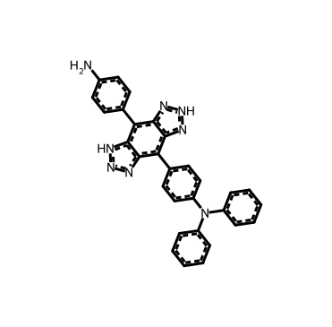 Nc1ccc(-c2c3n[nH]nc3c(-c3ccc(N(c4ccccc4)c4ccccc4)cc3)c3nn[nH]c23)cc1